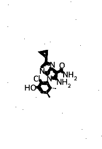 C[C@H]1C=C(O)C(Cl)=C(n2c(N)c(C(N)=O)c3nc(C4CC4)cnc32)[C@@H]1C